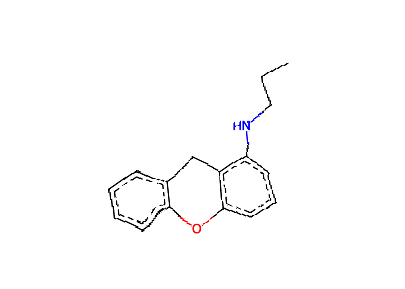 CCCNc1cccc2c1Cc1ccccc1O2